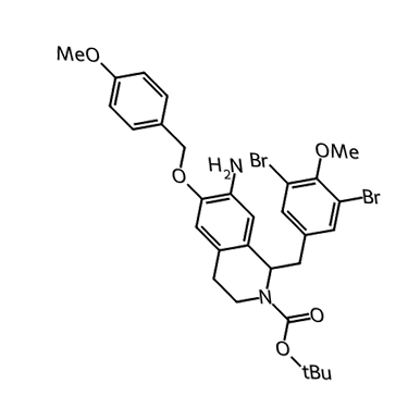 COc1ccc(COc2cc3c(cc2N)C(Cc2cc(Br)c(OC)c(Br)c2)N(C(=O)OC(C)(C)C)CC3)cc1